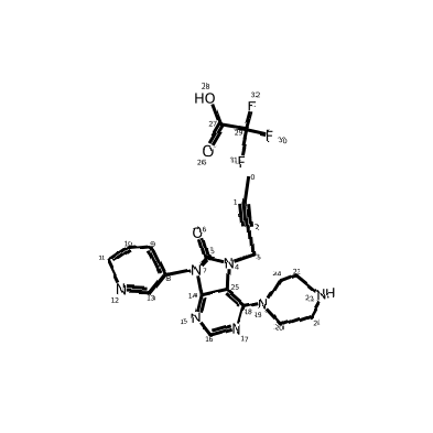 CC#CCn1c(=O)n(-c2cccnc2)c2ncnc(N3CCNCC3)c21.O=C(O)C(F)(F)F